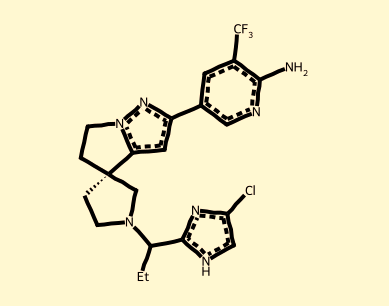 CCC(c1nc(Cl)c[nH]1)N1CC[C@@]2(CCn3nc(-c4cnc(N)c(C(F)(F)F)c4)cc32)C1